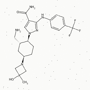 CC1(O)CN([C@@H]2CC[C@H](n3cc(C(N)=O)c(Nc4ccc(C(F)(F)F)cc4)n3)[C@@H](CN)C2)C1